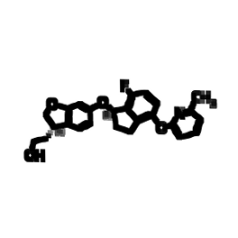 Cc1cccc(Oc2ccc(F)c3c2CC[C@H]3Oc2ccc3c(c2)OC[C@H]3CCO)n1